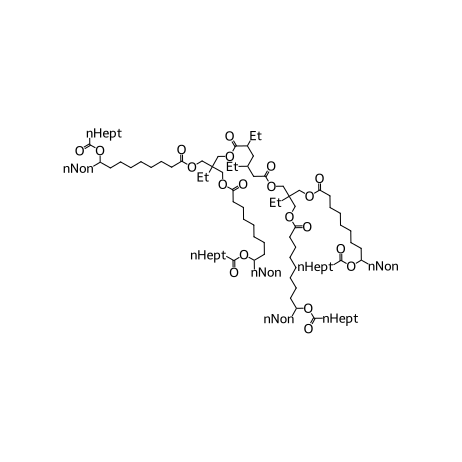 CCCCCCCCCC(CCCCCCCC(=O)OCC(CC)(COC(=O)CCCCCCCC(CCCCCCCCC)OC(=O)CCCCCCC)COC(=O)CC(CC)CC(CC)C(=O)OCC(CC)(COC(=O)CCCCCCCC(CCCCCCCCC)OC(=O)CCCCCCC)COC(=O)CCCCCCCC(CCCCCCCCC)OC(=O)CCCCCCC)OC(=O)CCCCCCC